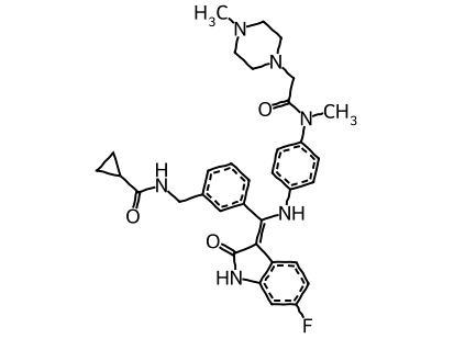 CN1CCN(CC(=O)N(C)c2ccc(NC(=C3C(=O)Nc4cc(F)ccc43)c3cccc(CNC(=O)C4CC4)c3)cc2)CC1